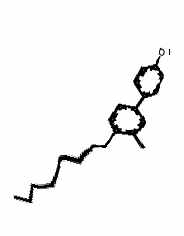 CCCCCCCCc1ccc(-c2ccc(O)cc2)cc1C